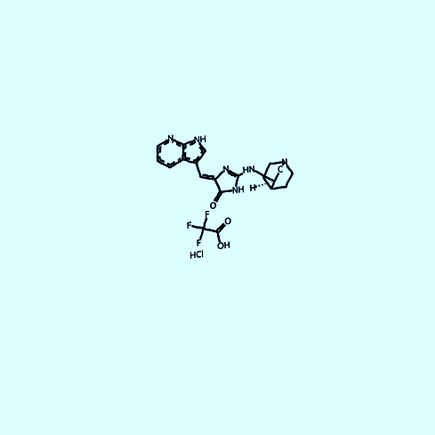 Cl.O=C(O)C(F)(F)F.O=C1NC(N[C@H]2CN3CCC2CC3)=N/C1=C\c1c[nH]c2ncccc12